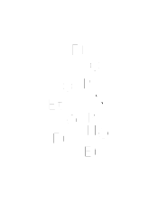 CCOP(N=[PH](OCC)OCC)OCC